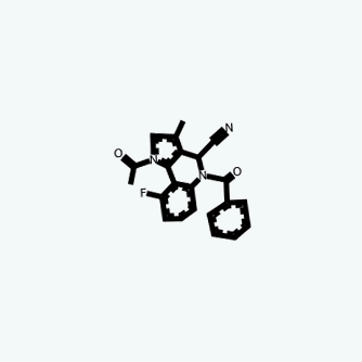 CC(=O)n1cc(C)c2c1-c1c(F)cccc1N(C(=O)c1ccccc1)C2C#N